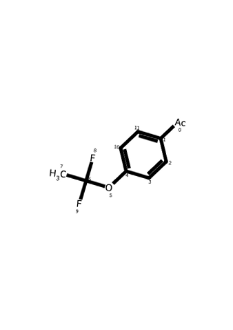 CC(=O)c1ccc(OC(C)(F)F)cc1